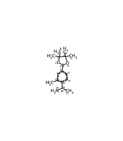 Cc1cc(B2OC(C)(C)C(C)(C)O2)ccc1[C@@H](C)N